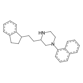 c1ccc2c(c1)CCC2CCC1CN(c2cccc3ccccc23)CCN1